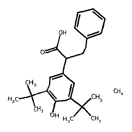 C.CC(C)(C)c1cc(C(Cc2ccccc2)C(=O)O)cc(C(C)(C)C)c1O